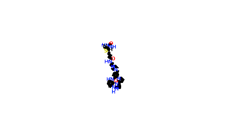 Cc1ccc(NC(=O)c2ccc(CN3CCN(CCNC(=O)CCCC[C@@H]4SC[C@@H]5NC(=O)N[C@@H]54)CC3)cc2)cc1Nc1nccc(-c2cccnc2)n1